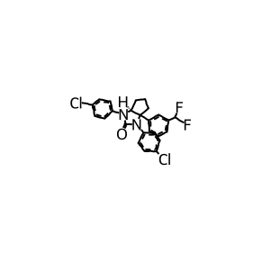 O=C1N(c2ccc(Cl)cc2)[C@H]2CCCC2(c2cccc(C(F)F)c2)N1c1ccc(Cl)cc1